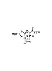 BC1CCC(OC(C(=O)OC)P(C)(=O)N[C@@H](C)C(C)C)C1